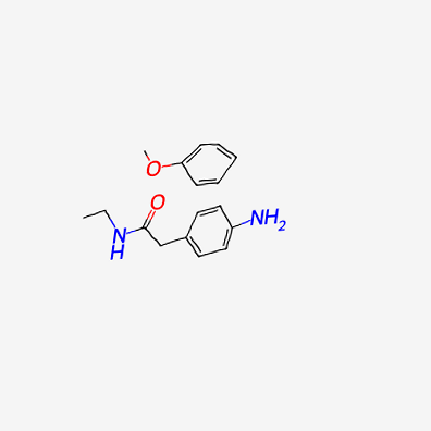 CCNC(=O)Cc1ccc(N)cc1.COc1ccccc1